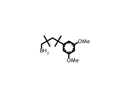 BCC(C)(C)CC(C)(C)c1cc(OC)cc(OC)c1